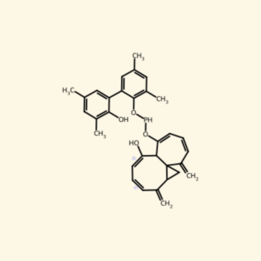 C=C1/C=C\C=C(\O)C2C(OPOc3c(C)cc(C)cc3-c3cc(C)cc(C)c3O)=CC=CC(=C)C23CC13